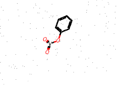 [O]=[V](=[O])[O]c1ccccc1